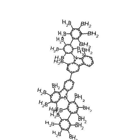 Bc1c(B)c(B)c(-c2c(B)c(B)c(B)c(-n3c4ccc(-c5cc(B)c6c(c5)c5cccc(B)c5n6-c5c(B)c(B)c(B)c(-c6c(B)c(B)c(B)c(B)c6B)c5B)cc4c4c(B)c(B)c(B)c(B)c43)c2B)c(B)c1B